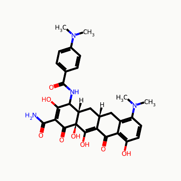 CN(C)c1ccc(C(=O)NC2C(O)=C(C(N)=O)C(=O)[C@@]3(O)C(O)=C4C(=O)c5c(O)ccc(N(C)C)c5C[C@H]4C[C@@H]23)cc1